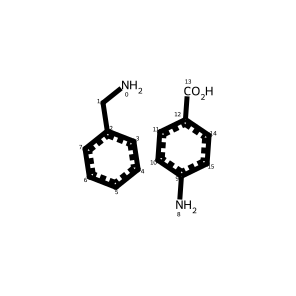 NCc1ccccc1.Nc1ccc(C(=O)O)cc1